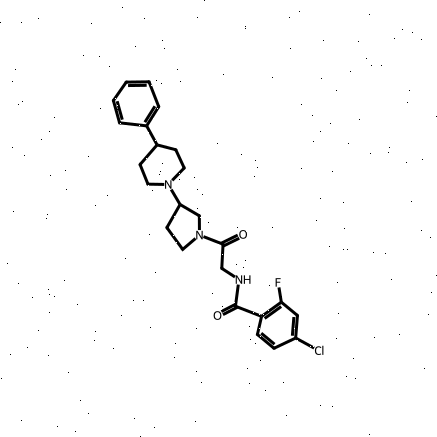 O=C(NCC(=O)N1CCC(N2CCC(c3ccccc3)CC2)C1)c1ccc(Cl)cc1F